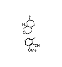 COc1ccc([C@H]2CN3CCNC[C@@H]3CO2)c(C)c1C#N